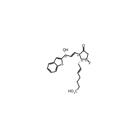 O=C(O)CCCC=CC[C@H]1[C@H](F)CC(=O)[C@@H]1C=C[C@@H](O)c1cc2ccccc2s1